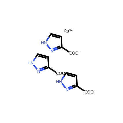 O=C([O-])c1cc[nH]n1.O=C([O-])c1cc[nH]n1.O=C([O-])c1cc[nH]n1.[Ru+3]